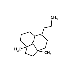 CCCCC12CCCC3(C)CCC(C)(CCC1)N32